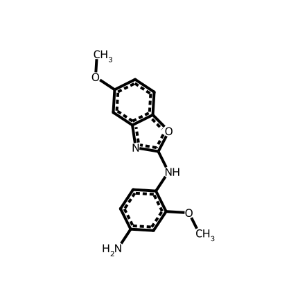 COc1ccc2oc(Nc3ccc(N)cc3OC)nc2c1